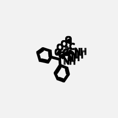 N=C=O.N=C=O.N=C=O.N=C=O.c1ccc(Cc2ccccc2)cc1